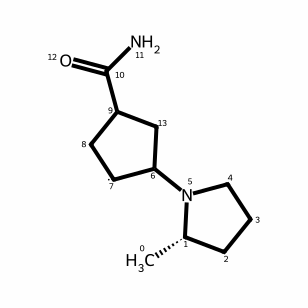 C[C@H]1CCCN1C1[CH]CC(C(N)=O)C1